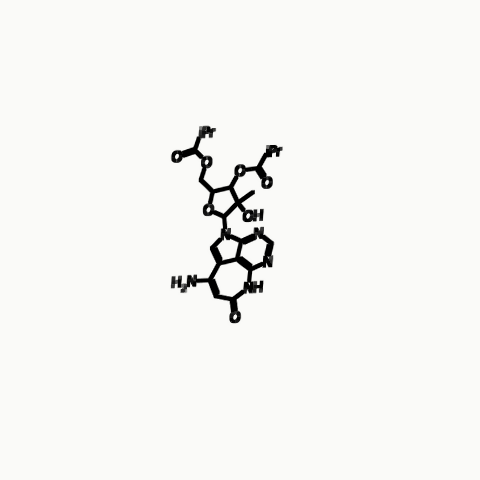 CC(C)C(=O)OCC1OC(n2cc3c4c(ncnc42)NC(=O)C=C3N)C(C)(O)C1OC(=O)C(C)C